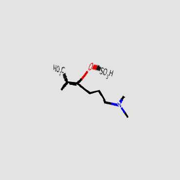 CC(C(=O)O)=C(CCCN(C)C)OS(=O)(=O)O